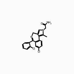 Cc1c2c(cn1CC(N)=O)CN=C(c1ccccc1Cl)c1cc(Cl)ccc1-2